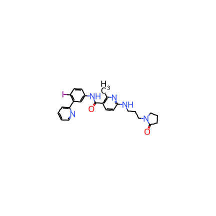 Cc1nc(NCCCN2CCCC2=O)ccc1C(=O)Nc1ccc(I)c(-c2ccccn2)c1